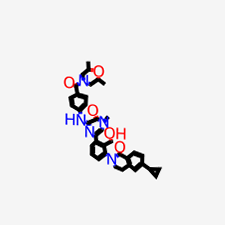 CC1CN(C(=O)c2ccc(Nc3nc(-c4cccc(N5CCc6cc(C7CC7)ccc6C5=O)c4CO)cn(C)c3=O)cc2)CC(C)O1